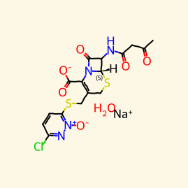 CC(=O)CC(=O)NC1C(=O)N2C(C(=O)[O-])=C(CSc3ccc(Cl)n[n+]3[O-])CS[C@@H]12.O.[Na+]